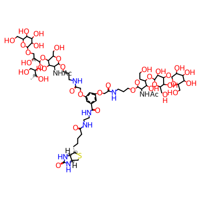 CC(=O)NC1C(OCCCNC(=O)COc2cc(OCC(=O)NCCCOC3OC(CO)C(OC(OC(CO)[C@@H](C)O)[C@@H](O)COC4OC(CO)C(O)C(O)C4O)C(O)C3NC(C)=O)cc(C(=O)NCCNC(=O)CCCC[C@@H]3SC[C@@H]4NC(=O)N[C@@H]43)c2)OC(CO)C(OC2OC(CO)C(O)C(OC3OC(CO)C(O)C(O)C3O)C2O)C1O